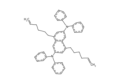 C=CCCCCc1cc(N(c2ccccc2)c2ccccc2)cc2c(CCCCC=C)cc(N(c3ccccc3)c3ccccc3)cc12